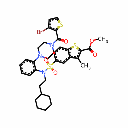 COC(=O)c1sc2ccc(S(=O)(=O)N(CCC3CCCCC3)c3ccccc3N3CCN(C(=O)c4sccc4Br)CC3)cc2c1C